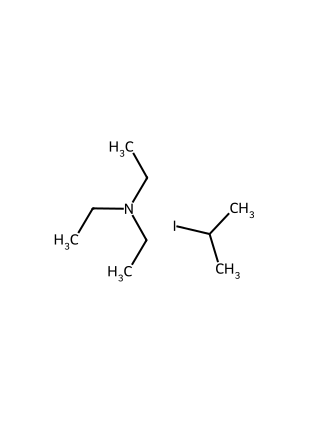 CC(C)I.CCN(CC)CC